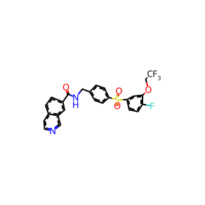 O=C(NCc1ccc(S(=O)(=O)c2ccc(F)c(OCC(F)(F)F)c2)cc1)c1ccc2ccncc2c1